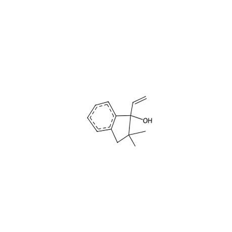 C=CC1(O)c2ccccc2CC1(C)C